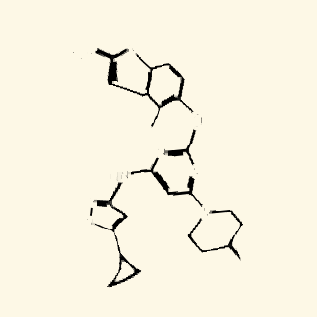 Cc1cc2c(F)c(Oc3nc(Nc4cc(C5CC5)[nH]n4)cc(N4CCC(F)CC4)n3)ccc2[nH]1